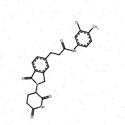 Cc1ccc(NC(=O)CCc2ccc3c(c2)CN(C2CCC(=O)NC2=O)C3=O)cc1Cl